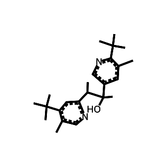 Cc1cnc(C(C)C(C)(O)c2cnc(C(C)(C)C)c(C)c2)cc1C(C)(C)C